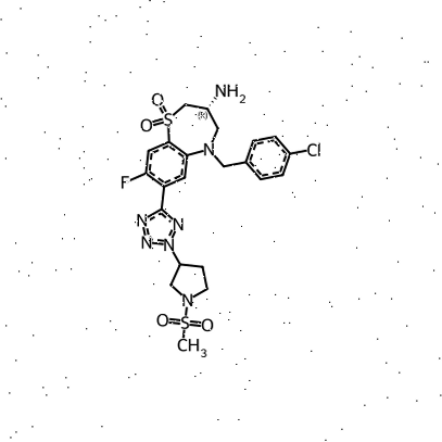 CS(=O)(=O)N1CCC(n2nnc(-c3cc4c(cc3F)S(=O)(=O)C[C@H](N)CN4Cc3ccc(Cl)cc3)n2)C1